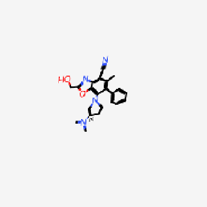 Cc1c(-c2ccccc2)c(N2CC[C@H](N(C)C)C2)c2oc(CO)nc2c1C#N